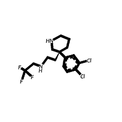 FC(F)(F)CNCC[C@]1(c2ccc(Cl)c(Cl)c2)CCCNC1